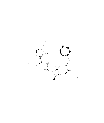 CON=C(C(=O)NC1C(=O)N2C=C(CCl)C(Cc3ccc(OC)cc3)S[C@H]12)c1nsc(N)n1